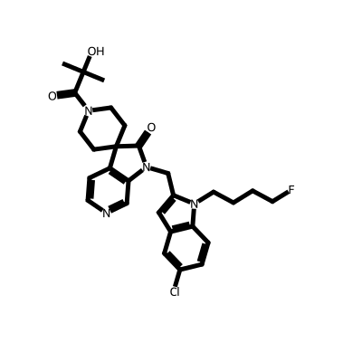 CC(C)(O)C(=O)N1CCC2(CC1)C(=O)N(Cc1cc3cc(Cl)ccc3n1CCCCF)c1cnccc12